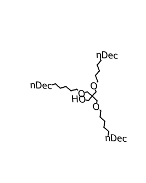 CCCCCCCCCCCCCCCOCC(CO)(COCCCCCCCCCCCCCCC)COCCCCCCCCCCCCCCC